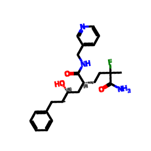 CC(F)(CC[C@H](C[C@@H](O)[CH]Cc1ccccc1)C(=O)NCc1cccnc1)C(N)=O